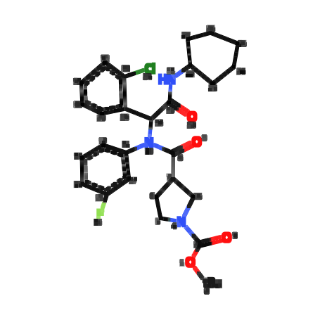 CC(C)(C)OC(=O)N1CCC(C(=O)N(c2cccc(F)c2)C(C(=O)NC2CCCCC2)c2ccccc2Cl)C1